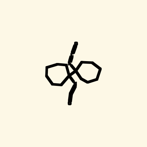 O=C=NC1(C2(N=C=O)CCCCCC2)CCCCCC1